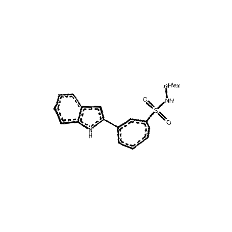 CCCCCCNS(=O)(=O)c1cccc(-c2cc3ccccc3[nH]2)c1